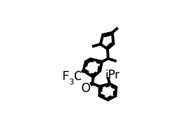 CC1=CC(C)C(C(C)c2ccc(C(F)(F)F)c(C(=O)c3ccccc3C(C)C)c2)=C1